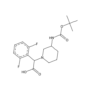 CC(C)(C)OC(=O)NC1CCCN(C(C(=O)O)c2c(F)cccc2F)C1